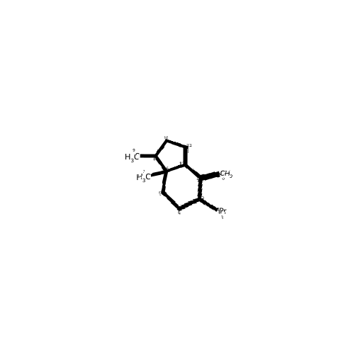 C=C1C(C(C)C)CCC2(C)C(C)CCC12